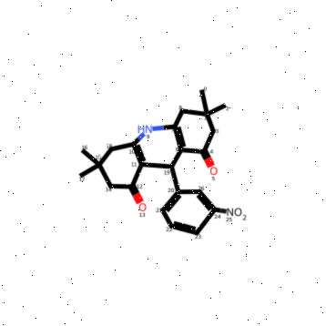 CC1(C)CC(=O)C2=C(C1)NC1=C(C(=O)CC(C)(C)C1)C2c1cccc([N+](=O)[O-])c1